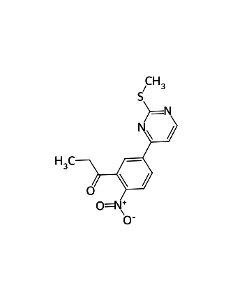 CCC(=O)c1cc(-c2ccnc(SC)n2)ccc1[N+](=O)[O-]